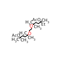 CCC(C)(CCC(C)(C)OCCOC(C)(C)CCC(C)(C)OC(C)=O)OC(C)=O